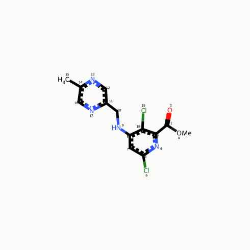 COC(=O)c1nc(Cl)cc(NCc2cnc(C)cn2)c1Cl